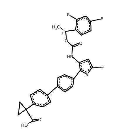 C[C@@H](OC(=O)Nc1cc(F)sc1-c1ccc(-c2ccc(C3(C(=O)O)CC3)cc2)cc1)c1ccc(F)cc1F